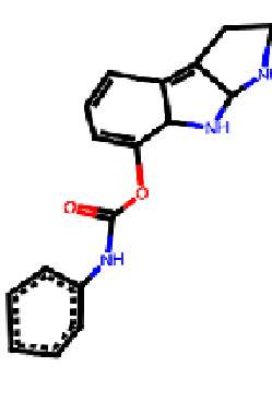 O=C(Nc1ccccc1)OC1=CC=CC2=C3CCNC3NC12